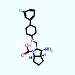 N[C@H]1[C@H]2CCC[C@H]2N(C(=O)O)[C@H]1COC1CCC(c2cccc(F)c2)CC1